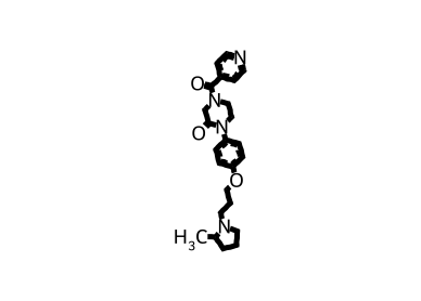 CC1CCCN1CCCOc1ccc(N2CCN(C(=O)c3ccncc3)CC2=O)cc1